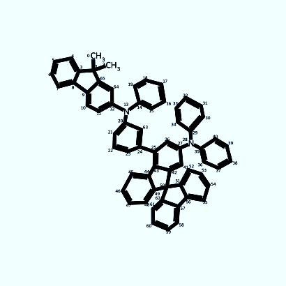 CC1(C)c2ccccc2-c2ccc(N(c3ccccc3)c3cccc(-c4cc(N(c5ccccc5)c5ccccc5)cc5c4-c4ccccc4C54c5ccccc5-c5ccccc54)c3)cc21